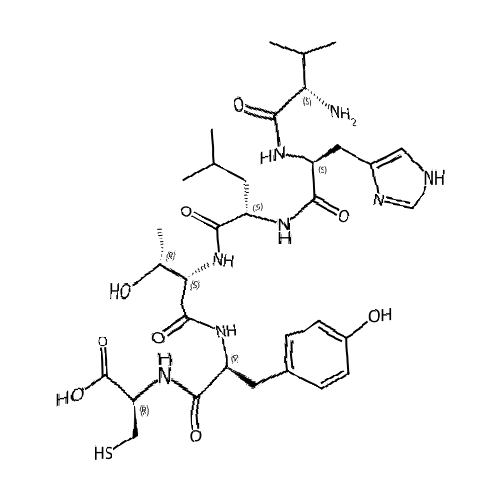 CC(C)C[C@H](NC(=O)[C@H](Cc1c[nH]cn1)NC(=O)[C@@H](N)C(C)C)C(=O)N[C@H](C(=O)N[C@@H](Cc1ccc(O)cc1)C(=O)N[C@@H](CS)C(=O)O)[C@@H](C)O